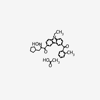 CC(=O)O.CCn1c2ccc(C(=O)C(CC3CCCC3)=NO)cc2c2cc(C(=O)c3ccccc3C)ccc21